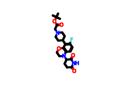 CC(C)(C)OC(=O)CN1CCC(c2c(F)ccc3c2OCCN3C2CCC(=O)NC2=O)CC1